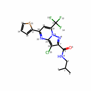 CC(C)CNC(=O)c1nn2c(C(F)(F)F)cc(-c3cccs3)nc2c1Cl